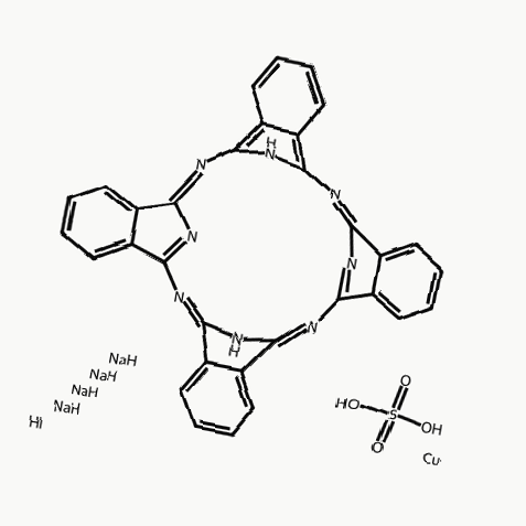 I.O=S(=O)(O)O.[Cu].[NaH].[NaH].[NaH].[NaH].c1ccc2c(c1)-c1nc-2nc2[nH]c(nc3nc(nc4[nH]c(n1)c1ccccc41)-c1ccccc1-3)c1ccccc21